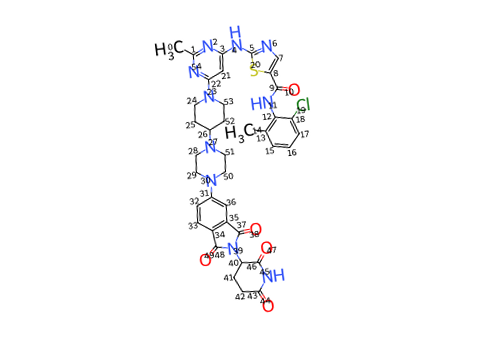 Cc1nc(Nc2ncc(C(=O)Nc3c(C)cccc3Cl)s2)cc(N2CCC(N3CCN(c4ccc5c(c4)C(=O)N(C4CCC(=O)NC4=O)C5=O)CC3)CC2)n1